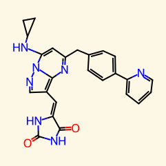 O=C1NC(=O)/C(=C/c2cnn3c(NC4CC4)cc(Cc4ccc(-c5ccccn5)cc4)nc23)N1